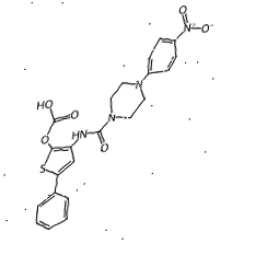 O=C(O)Oc1sc(-c2ccccc2)cc1NC(=O)N1CCN(c2ccc([N+](=O)[O-])cc2)CC1